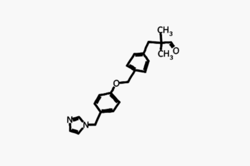 CC(C)(C=O)Cc1ccc(COc2ccc(Cn3ccnc3)cc2)cc1